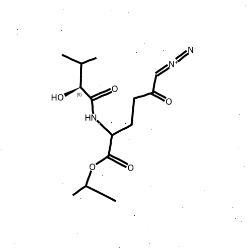 CC(C)OC(=O)C(CCC(=O)C=[N+]=[N-])NC(=O)[C@@H](O)C(C)C